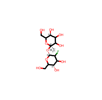 C[C@]1(O[C@H]2OC(CO)[C@@H](O)C(O)C2F)OC(CO)[C@@H](O)C(O)C1O